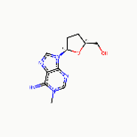 Cn1cnc2c(ncn2[C@H]2CC[C@@H](CO)O2)c1=N